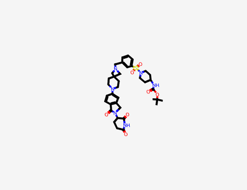 CC(C)(C)OC(=O)NC1CCN(S(=O)(=O)c2cccc(CN3CC4(CCN(c5ccc6c(c5)CN(C5CCC(=O)NC5=O)C6=O)CC4)C3)c2)CC1